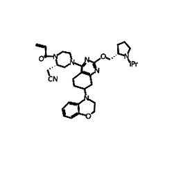 C=CC(=O)N1CCN(c2nc(OC[C@@H]3CCCN3C(C)C)nc3c2CCC(N2CCOc4ccccc42)C3)C[C@@H]1CC#N